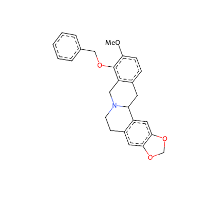 COc1ccc2c(c1OCc1ccccc1)CN1CCc3cc4c(cc3C1C2)OCO4